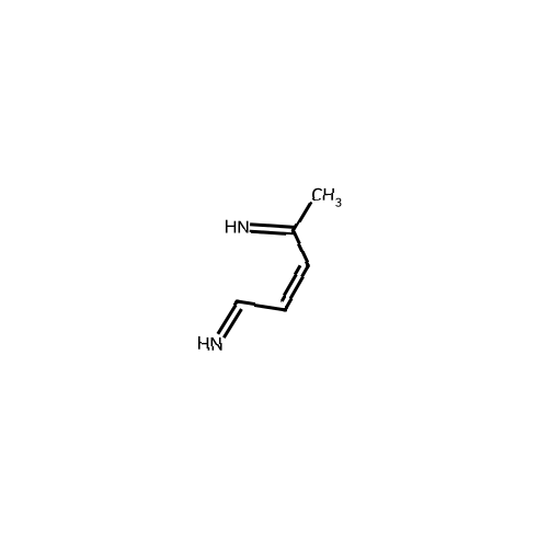 CC(=N)/C=C\C=N